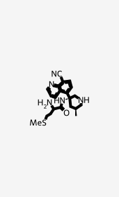 CSCCC(N)C(=O)N[C@]1(c2ccc(C#N)c3ncccc23)CNC[C@@H](C)C1